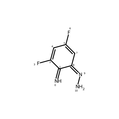 N=C1C(F)=CC(F)=C/C1=N/N